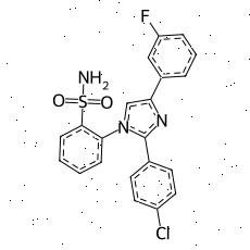 NS(=O)(=O)c1ccccc1-n1cc(-c2cccc(F)c2)nc1-c1ccc(Cl)cc1